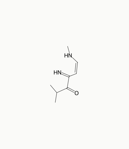 CN/C=C\C(=N)C(=O)C(C)C